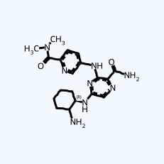 CN(C)C(=O)c1ccc(Nc2nc(N[C@@H]3CCCCC3N)cnc2C(N)=O)cn1